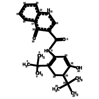 CC(C)(C)C1=C(NC(=O)c2c[nH]c3ccccc3c2=O)C=C(O)C(C(C)(C)C)C1